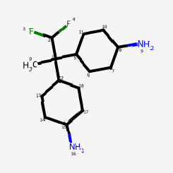 CC(C(F)F)(C1CCC(N)CC1)C1CCC(N)CC1